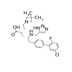 CC1(C)CN(CC[C@H](C[C@@H](Cc2ccc(-c3cc(Cl)ccc3F)cc2)NCc2cnn[nH]2)C(=O)O)C1